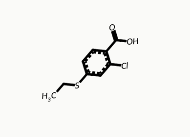 CCSc1ccc(C(=O)O)c(Cl)c1